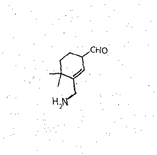 CC1(C)CCC(C=O)C=C1CN